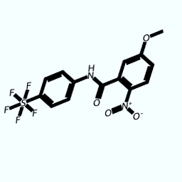 COc1ccc([N+](=O)[O-])c(C(=O)Nc2ccc(S(F)(F)(F)(F)F)cc2)c1